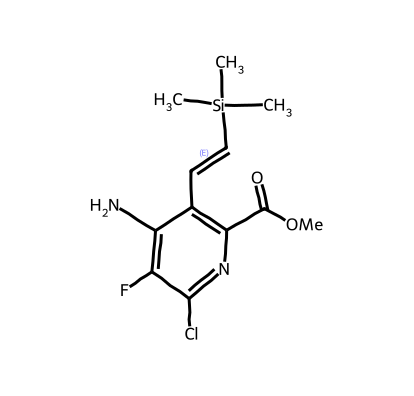 COC(=O)c1nc(Cl)c(F)c(N)c1/C=C/[Si](C)(C)C